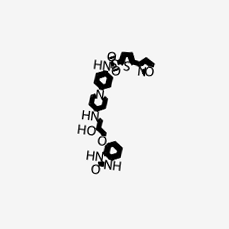 O=c1[nH]c2cccc(OC[C@@H](O)CNC3CCN(c4ccc(NS(=O)(=O)c5ccc(-c6ccon6)s5)cc4)CC3)c2[nH]1